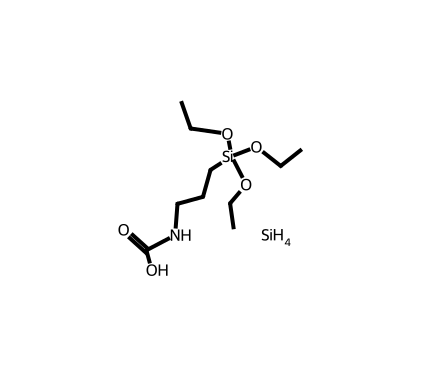 CCO[Si](CCCNC(=O)O)(OCC)OCC.[SiH4]